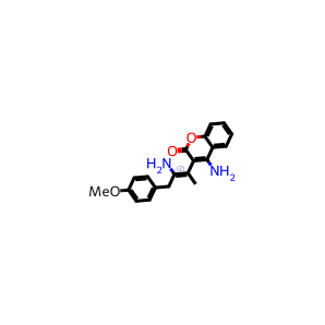 COc1ccc(C/C(N)=C(\C)c2c(N)c3ccccc3oc2=O)cc1